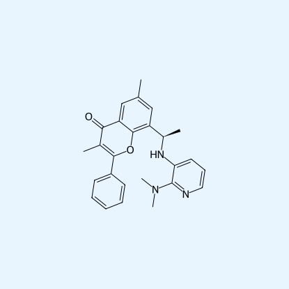 Cc1cc([C@@H](C)Nc2cccnc2N(C)C)c2oc(-c3ccccc3)c(C)c(=O)c2c1